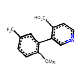 COc1ccc(C(F)(F)F)cc1-c1cnccc1C(=O)O